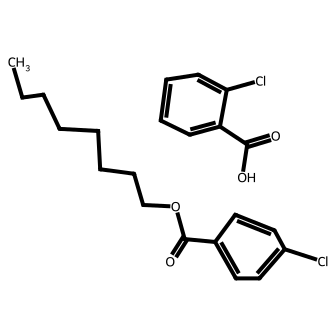 CCCCCCCCOC(=O)c1ccc(Cl)cc1.O=C(O)c1ccccc1Cl